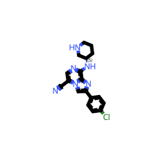 N#Cc1cnc(N[C@H]2CCCNC2)c2nc(-c3ccc(Cl)cc3)cn12